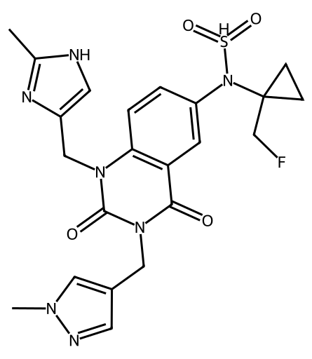 Cc1nc(Cn2c(=O)n(Cc3cnn(C)c3)c(=O)c3cc(N([SH](=O)=O)C4(CF)CC4)ccc32)c[nH]1